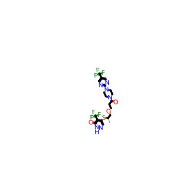 C[C@@H](COCCC(=O)N1CCN(c2ncc(C(F)(F)F)cn2)CC1)Sc1cn[nH]c(=O)c1C(F)(F)F